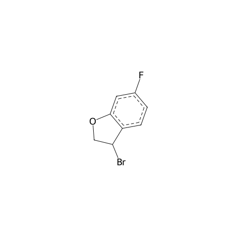 Fc1ccc2c(c1)OCC2Br